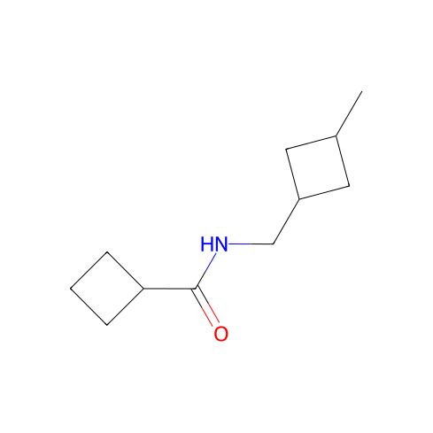 CC1CC(CNC(=O)C2CCC2)C1